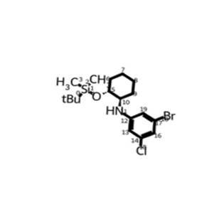 CC(C)(C)[Si](C)(C)O[C@@H]1CCCC[C@H]1Nc1cc(Cl)cc(Br)c1